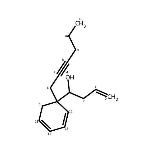 C=CCC(O)C1(CC#CCCC)C=CC=CC1